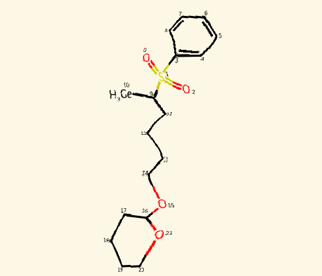 O=S(=O)(c1ccccc1)[CH]([GeH3])CCCCOC1CCCCO1